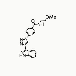 COCCNC(=O)c1ccc(-n2cc(-c3n[nH]c4ccccc34)nn2)cc1